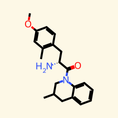 COc1ccc(C[C@@H](N)C(=O)N2CC(C)Cc3ccccc32)c(C)c1